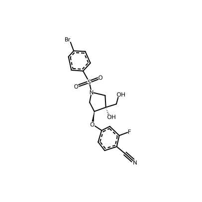 N#Cc1ccc(O[C@H]2CN(S(=O)(=O)c3ccc(Br)cc3)C[C@@]2(O)CO)cc1F